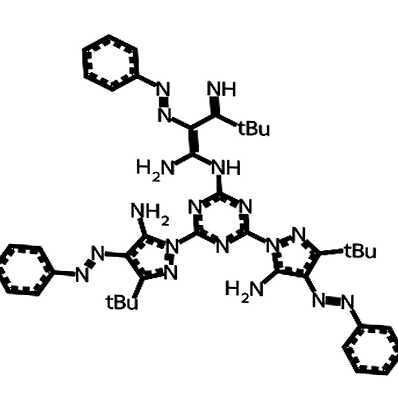 CC(C)(C)C(=N)C(/N=N/c1ccccc1)=C(/N)Nc1nc(-n2nc(C(C)(C)C)c(/N=N/c3ccccc3)c2N)nc(-n2nc(C(C)(C)C)c(/N=N/c3ccccc3)c2N)n1